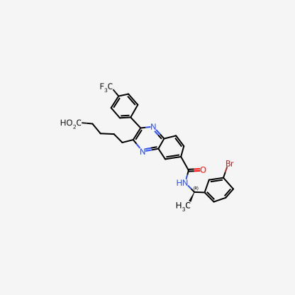 C[C@@H](NC(=O)c1ccc2nc(-c3ccc(C(F)(F)F)cc3)c(CCCCC(=O)O)nc2c1)c1cccc(Br)c1